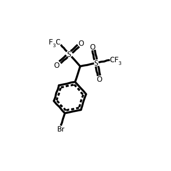 O=S(=O)(C(c1ccc(Br)cc1)S(=O)(=O)C(F)(F)F)C(F)(F)F